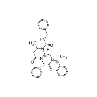 C[C@H](c1ccccc1)N1C[C@H]2N(C(=O)CN(C)N2C(=O)NCc2ccccc2)[C@@H](c2ccccc2)C1=O